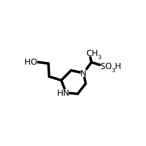 CC(N1CCNC(CCO)C1)S(=O)(=O)O